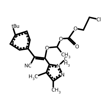 Cc1nn(C)c(/C(OC(C)OC(=O)OCCCl)=C(\C#N)c2ccc(C(C)(C)C)cc2)c1C